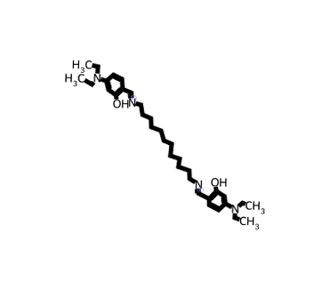 CCN(CC)c1ccc(/C=N/CCCCCCCCCCCC/N=C/c2ccc(N(CC)CC)cc2O)c(O)c1